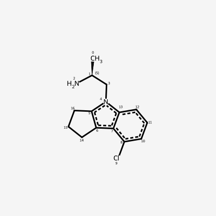 C[C@H](N)Cn1c2c(c3c(Cl)cccc31)CCC2